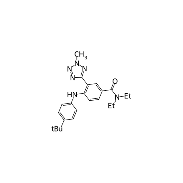 CCN(CC)C(=O)c1ccc(Nc2ccc(C(C)(C)C)cc2)c(-c2nnn(C)n2)c1